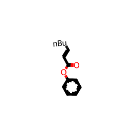 CCCC/C=C/C(=O)Oc1ccccc1